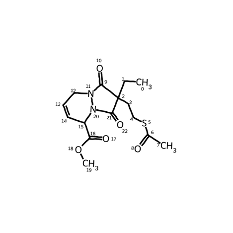 CCC1(CCSC(C)=O)C(=O)N2CC=CC(C(=O)OC)N2C1=O